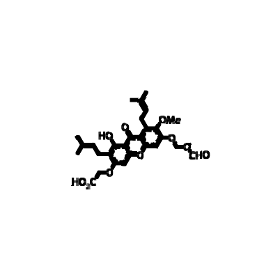 COc1c(OCOC=O)cc2oc3cc(OCC(=O)O)c(CC=C(C)C)c(O)c3c(=O)c2c1CC=C(C)C